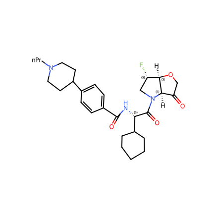 CCCN1CCC(c2ccc(C(=O)N[C@H](C(=O)N3C[C@H](F)[C@H]4OCC(=O)[C@H]43)C3CCCCC3)cc2)CC1